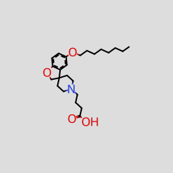 CCCCCCCCOc1ccc2c(c1)C1(CCN(CCCC(=O)O)CC1)CO2